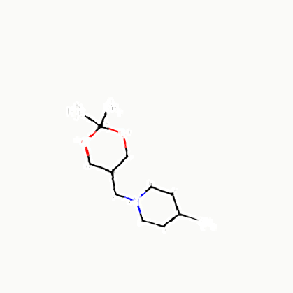 CC1CCN(CC2COC(C)(C)OC2)CC1